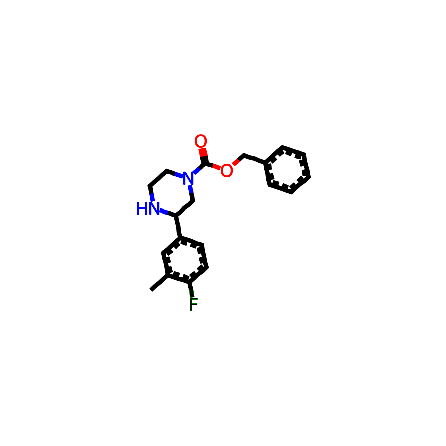 Cc1cc(C2CN(C(=O)OCc3ccccc3)CCN2)ccc1F